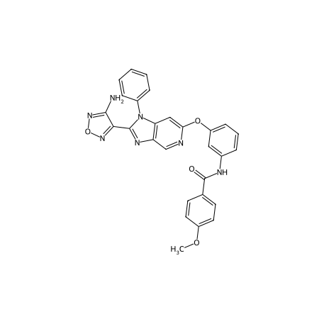 COc1ccc(C(=O)Nc2cccc(Oc3cc4c(cn3)nc(-c3nonc3N)n4-c3ccccc3)c2)cc1